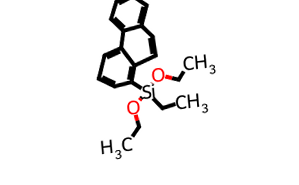 CCO[Si](CC)(OCC)c1cccc2c1ccc1ccccc12